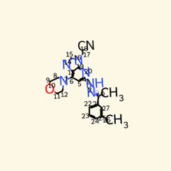 C/C(=N\Nc1cc(N2CCOCC2)c2ncn(CC#N)c2n1)c1cccc(C)c1